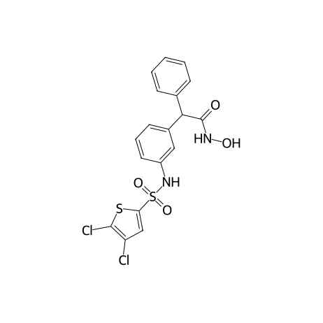 O=C(NO)C(c1ccccc1)c1cccc(NS(=O)(=O)c2cc(Cl)c(Cl)s2)c1